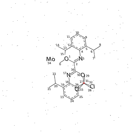 COC(=Nc1c(C(C)C)cccc1C(C)C)C(=Nc1c(C(C)C)cccc1C(C)C)OC(Cl)Cl.[Mo]